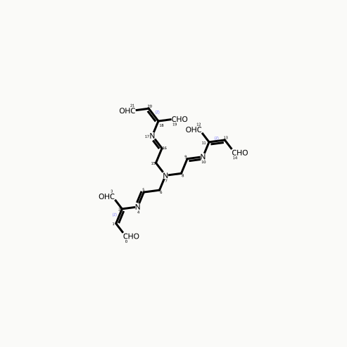 O=C/C=C(/C=O)N=CCN(CC=N/C(C=O)=C\C=O)CC=N/C(C=O)=C\C=O